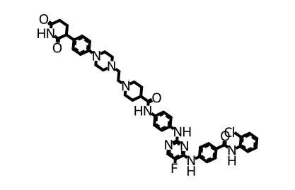 O=C1CCC(c2ccc(N3CCN(CCN4CCC(C(=O)Nc5ccc(Nc6ncc(F)c(Nc7ccc(C(=O)Nc8ccccc8Cl)cc7)n6)cc5)CC4)CC3)cc2)C(=O)N1